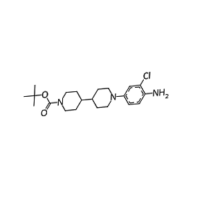 CC(C)(C)OC(=O)N1CCC(C2CCN(c3ccc(N)c(Cl)c3)CC2)CC1